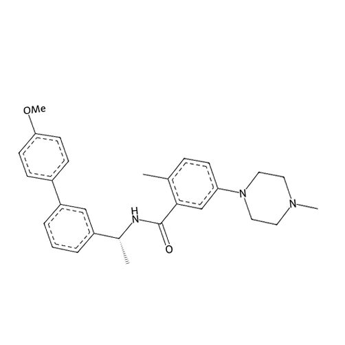 COc1ccc(-c2cccc([C@@H](C)NC(=O)c3cc(N4CCN(C)CC4)ccc3C)c2)cc1